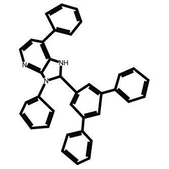 c1ccc(-c2cc(-c3ccccc3)cc(C3Nc4c(-c5ccccc5)ccnc4N3c3ccccc3)c2)cc1